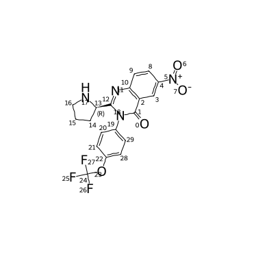 O=c1c2cc([N+](=O)[O-])ccc2nc([C@H]2CCCN2)n1-c1ccc(OC(F)(F)F)cc1